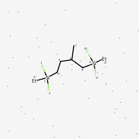 CC[Si](F)(F)CCC(C)C[Si](F)(F)CC